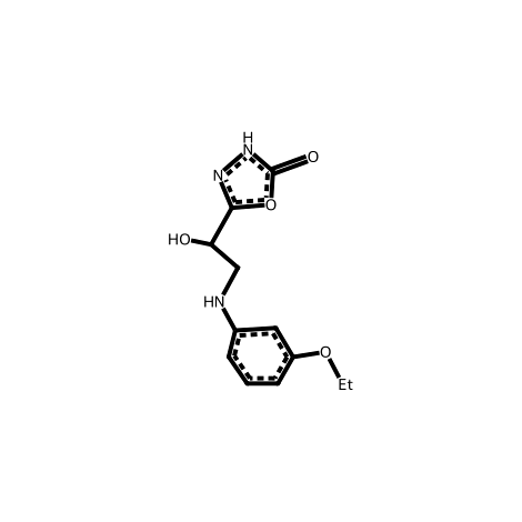 CCOc1cccc(NCC(O)c2n[nH]c(=O)o2)c1